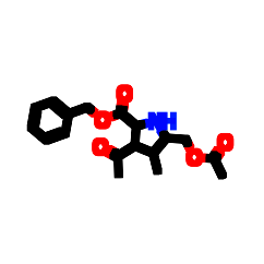 CC(=O)OCC1NC(C(=O)OCc2ccccc2)C(C(C)=O)C1C